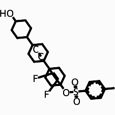 Cc1ccc(S(=O)(=O)OC23CCC(C45CCC(C6CCC(O)CC6)(CC4)CC5)(CC2)C(F)=C3F)cc1